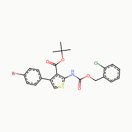 CC(C)(C)OC(=O)c1c(-c2ccc(Br)cc2)csc1NC(=O)OCc1ccccc1Cl